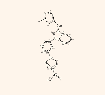 Cc1ccnc(Nc2nn(-c3ccnc(N4CC5CC4CN5C(=O)O)c3)c3ccccc23)c1